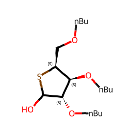 CCCCOC[C@@H]1SC(O)[C@@H](OCCCC)[C@@H]1OCCCC